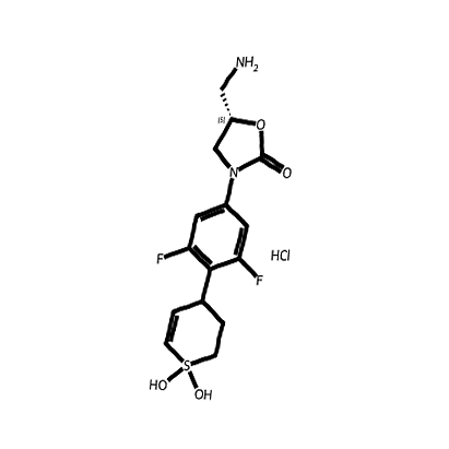 Cl.NC[C@H]1CN(c2cc(F)c(C3C=CS(O)(O)CC3)c(F)c2)C(=O)O1